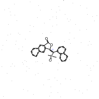 CP(C)(=O)/C(=C1/OC(=O)c2cc3ccccc3cc21)c1cccc2ccccc12